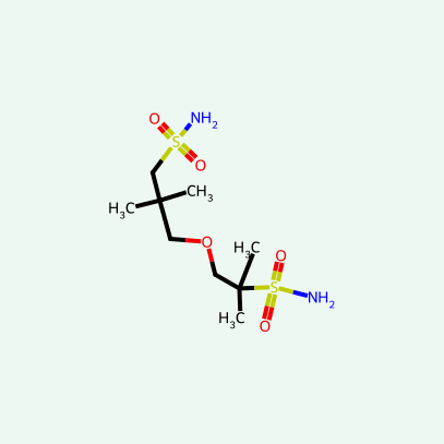 CC(C)(COCC(C)(C)S(N)(=O)=O)CS(N)(=O)=O